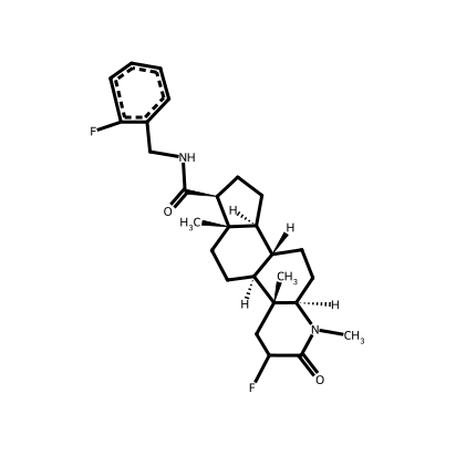 CN1C(=O)C(F)C[C@]2(C)[C@H]3CC[C@]4(C)[C@@H](C(=O)NCc5ccccc5F)CC[C@H]4[C@@H]3CC[C@@H]12